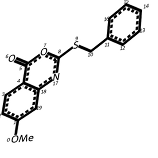 COc1ccc2c(=O)oc(SCc3ccccc3)nc2c1